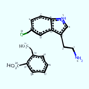 NCCc1c[nH]c2ccc(Cl)cc12.O=C(O)c1ccccc1C(=O)O